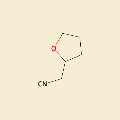 [C-]#[N+]CC1CCCO1